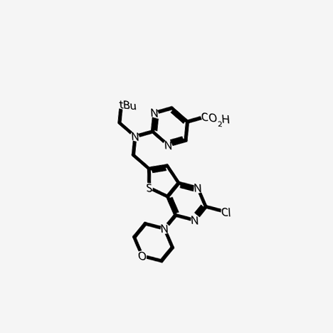 CC(C)(C)CN(Cc1cc2nc(Cl)nc(N3CCOCC3)c2s1)c1ncc(C(=O)O)cn1